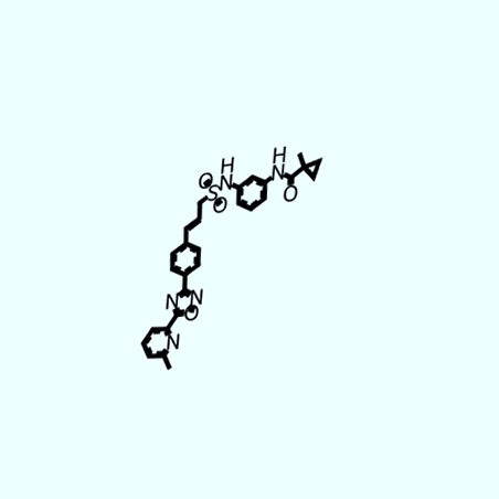 Cc1cccc(-c2nc(-c3ccc(C=CCS(=O)(=O)Nc4cccc(NC(=O)C5(C)CC5)c4)cc3)no2)n1